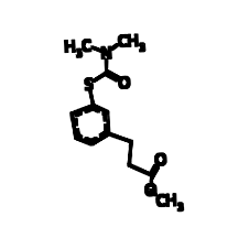 COC(=O)CCc1cccc(SC(=O)N(C)C)c1